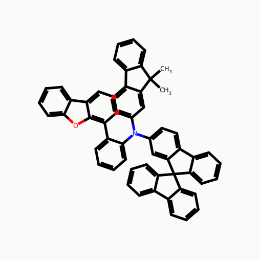 CC1(C)c2ccccc2-c2ccc(N(c3ccc4c(c3)C3(c5ccccc5-c5ccccc53)c3ccccc3-4)c3ccccc3-c3cccc4c3oc3ccccc34)cc21